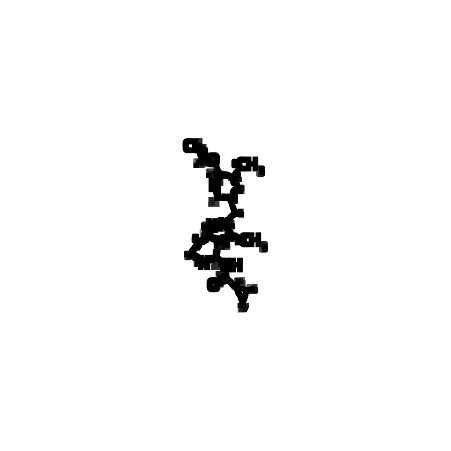 Cc1cc(Cn2nc3ccnc(NC(=O)C4CC4)c3c2C)cnc1OCC(F)(F)F